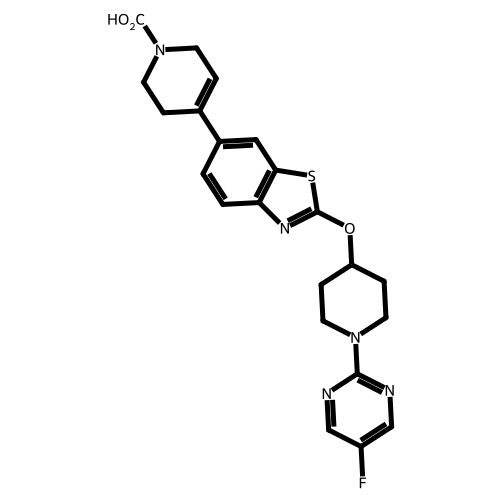 O=C(O)N1CC=C(c2ccc3nc(OC4CCN(c5ncc(F)cn5)CC4)sc3c2)CC1